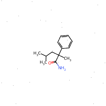 CC(C)CC(C)(C(N)=O)c1ccccc1